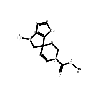 CN1CC2(C=CN(C(=O)OC(C)(C)C)CC2)c2sccc21